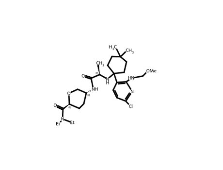 CCN(CC)C(=O)[C@@H]1CC[C@@H](NC(=O)[C@@H](C)NC2(c3ccc(Cl)nc3NCOC)CCC(C)(C)CC2)CO1